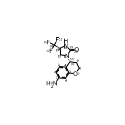 Nc1ccc2c(c1)OCC[C@H]2N1C[C@@H](C(F)(F)F)NC1=O